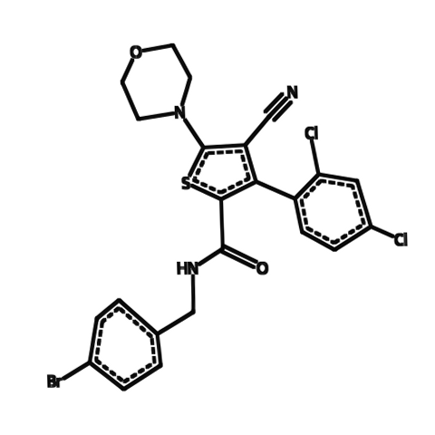 N#Cc1c(N2CCOCC2)sc(C(=O)NCc2ccc(Br)cc2)c1-c1ccc(Cl)cc1Cl